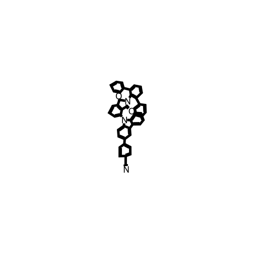 N#Cc1ccc(-c2ccc3c(c2)c2ccccc2n3-c2cccc3c2C(=O)N(c2c(-c4ccccc4)cccc2-c2ccccc2)C3=O)cc1